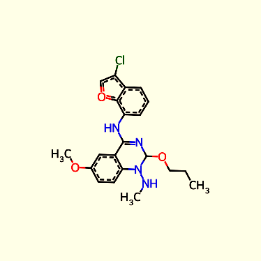 CCCOC1N=C(Nc2cccc3c(Cl)coc23)c2cc(OC)ccc2N1NC